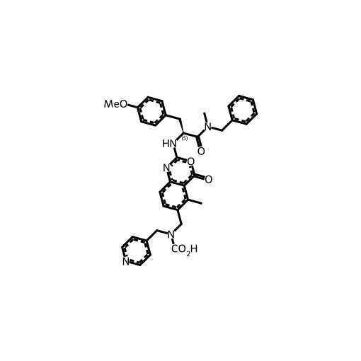 COc1ccc(C[C@H](Nc2nc3ccc(CN(Cc4ccncc4)C(=O)O)c(C)c3c(=O)o2)C(=O)N(C)Cc2ccccc2)cc1